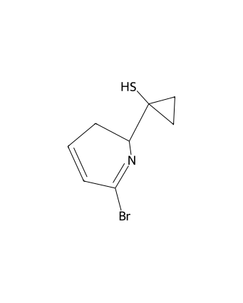 SC1(C2CC=CC(Br)=N2)CC1